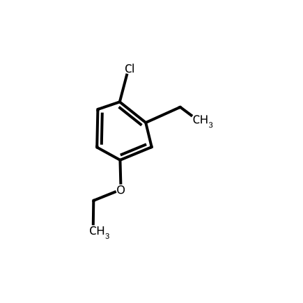 CCOc1ccc(Cl)c(CC)c1